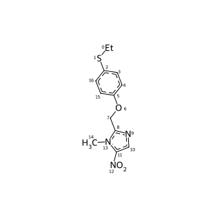 CCSc1ccc(OCc2ncc([N+](=O)[O-])n2C)cc1